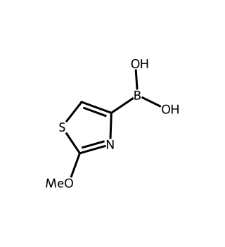 COc1nc(B(O)O)cs1